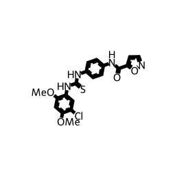 COc1cc(OC)c(NC(=S)Nc2ccc(NC(=O)c3ccno3)cc2)cc1Cl